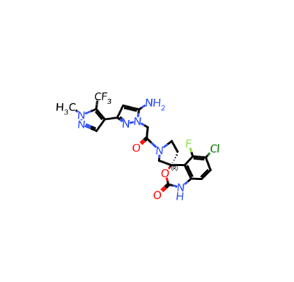 Cn1ncc(-c2cc(N)n(CC(=O)N3CC[C@@]4(C3)OC(=O)Nc3ccc(Cl)c(F)c34)n2)c1C(F)(F)F